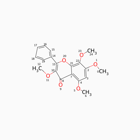 COc1cc(OC)c2c(=O)c(OC)c(-c3ccccc3)oc2c1OC